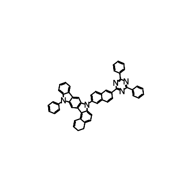 C1=Cc2c(ccc3c2c2cc4c(cc2n3-c2ccc3cc(-c5nc(-c6ccccc6)nc(-c6ccccc6)n5)ccc3c2)c2ccccc2n4-c2ccccc2)CC1